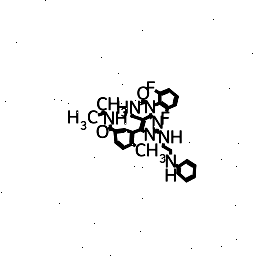 Cc1ccc(C(=O)NC(C)C)cc1-c1nc(NCCNc2ccccc2)nc2c1CNC(=O)N2c1c(F)cccc1F